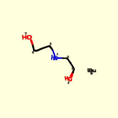 CC[C@H](C)[C@@H](O)CNCCO